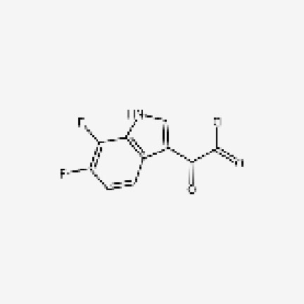 O=C(Cl)C(=O)c1c[nH]c2c(F)c(F)ccc12